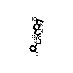 O=P1(c2cnc3c(ccc4c(O)ccnc43)c2)OCCC(c2cccc(Cl)c2)O1